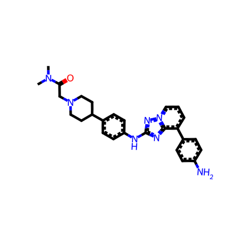 CN(C)C(=O)CN1CCC(c2ccc(Nc3nc4c(-c5ccc(N)cc5)cccn4n3)cc2)CC1